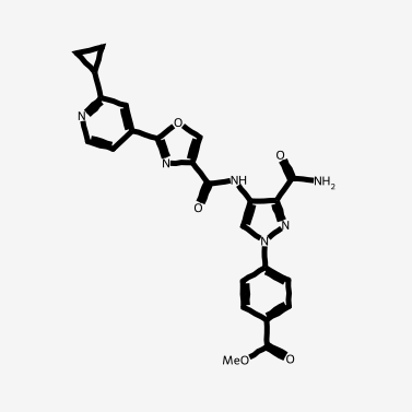 COC(=O)c1ccc(-n2cc(NC(=O)c3coc(-c4ccnc(C5CC5)c4)n3)c(C(N)=O)n2)cc1